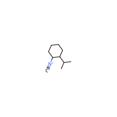 [C-]#[N+]C1CCCCC1C(C)C